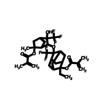 C=C(C)C(=O)OC1(C)CC2CC1C(OC1(C(F)(F)F)C3CC4CC1CC(C3)C4(CC)OC(=O)C(=C)C)C2(O)C(F)(F)F